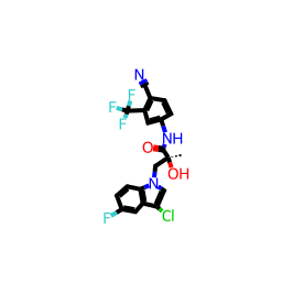 C[C@](O)(Cn1cc(Cl)c2cc(F)ccc21)C(=O)Nc1ccc(C#N)c(C(F)(F)F)c1